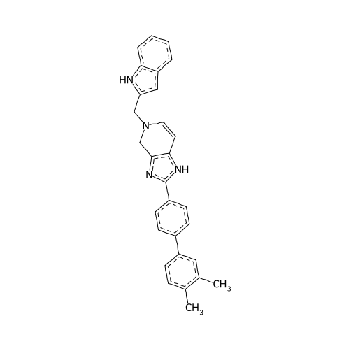 Cc1ccc(-c2ccc(-c3nc4c([nH]3)C=CN(Cc3cc5ccccc5[nH]3)C4)cc2)cc1C